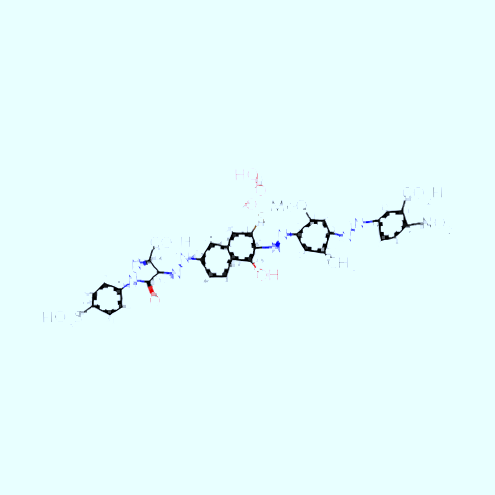 COc1cc(/N=N/c2ccc([N+](=O)[O-])c(C(=O)O)c2)c(C)cc1/N=N/c1c(SOOO)cc2cc(/N=N/C3C(=O)N(c4ccc(S(=O)(=O)O)cc4)N=C3C(=O)O)ccc2c1O